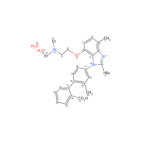 CCCCc1nc2c(C)ccc(OCCN(CC)CC)c2n1-c1ccc(-c2ccccc2C(=O)O)c(C)c1.O.O